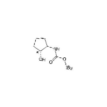 CC(C)(C)OC(=O)NC1CCC[C@H]1O